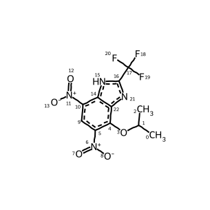 CC(C)Oc1c([N+](=O)[O-])cc([N+](=O)[O-])c2[nH]c(C(F)(F)F)nc12